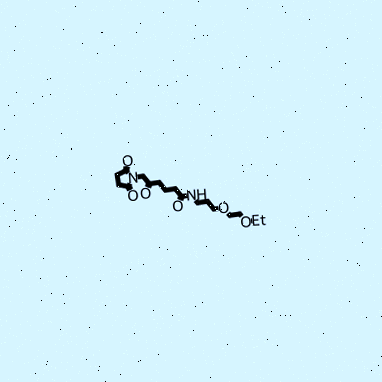 CCOCCOCCCNC(=O)CCCC(=O)CN1C(=O)CCC1=O